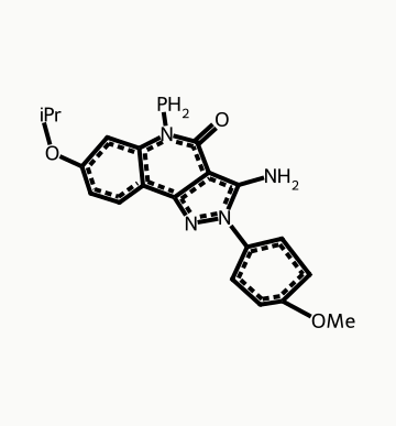 COc1ccc(-n2nc3c(c2N)c(=O)n(P)c2cc(OC(C)C)ccc32)cc1